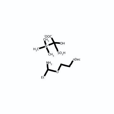 CCCCCCCCCCCCOC(N)CC.C[N+](C)(C)C(O)(C(=O)[O-])S(=O)(=O)O